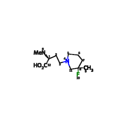 CN[C@@H](CCN1CCCC(C)(F)C1)C(=O)O